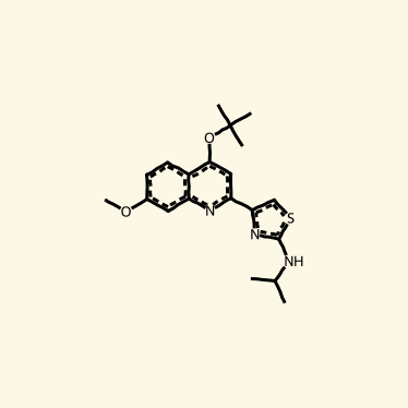 COc1ccc2c(OC(C)(C)C)cc(-c3csc(NC(C)C)n3)nc2c1